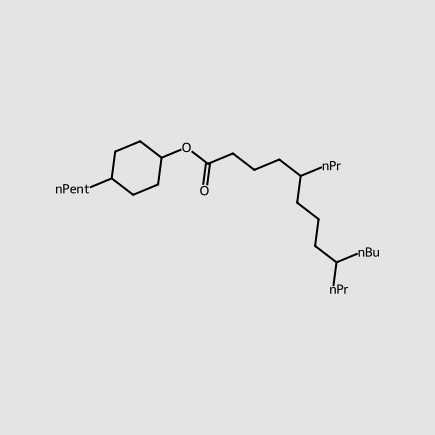 CCCCCC1CCC(OC(=O)CCCC(CCC)CCCC(CCC)CCCC)CC1